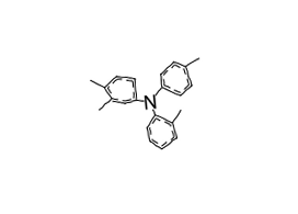 Cc1ccc(N(c2ccc(C)c(C)c2)c2ccccc2C)cc1